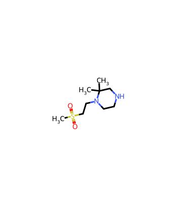 CC1(C)CNCCN1CCS(C)(=O)=O